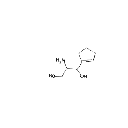 NC(CO)C(O)C1=CCCC1